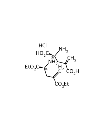 C=C(C[C@H](N)C(=O)O)C(=O)O.C=C(C[C@H](N)C(=O)OCC)C(=O)OCC.Cl